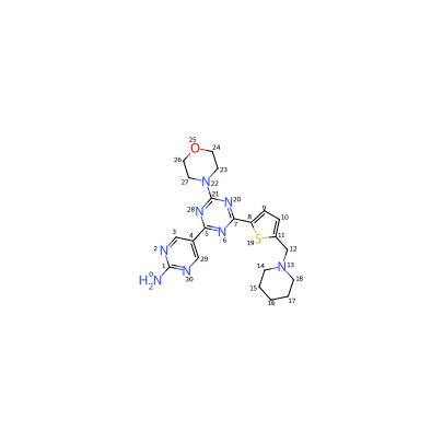 Nc1ncc(-c2nc(-c3ccc(CN4CCCCC4)s3)nc(N3CCOCC3)n2)cn1